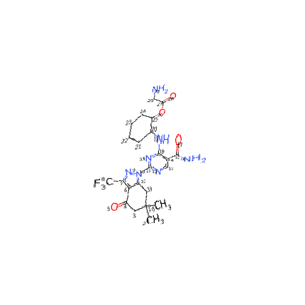 CC1(C)CC(=O)c2c(C(F)(F)F)nn(-c3ncc(C(N)=O)c(NC4CCCCC4OC(=O)CN)n3)c2C1